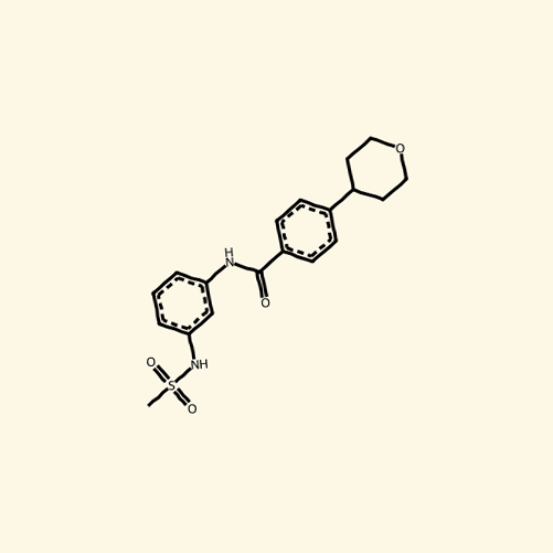 CS(=O)(=O)Nc1cccc(NC(=O)c2ccc(C3CCOCC3)cc2)c1